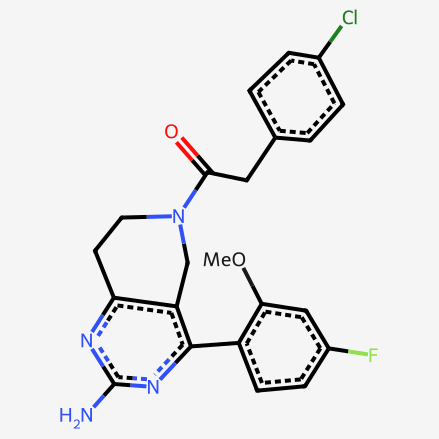 COc1cc(F)ccc1-c1nc(N)nc2c1CN(C(=O)Cc1ccc(Cl)cc1)CC2